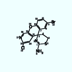 NC1=NC2(CCS1)c1cc(Br)ccc1Oc1cnc(Cl)cc12